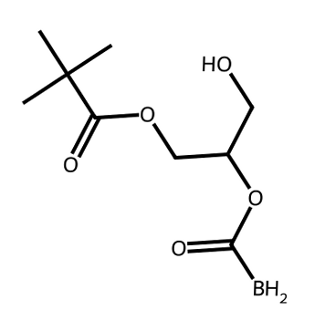 BC(=O)OC(CO)COC(=O)C(C)(C)C